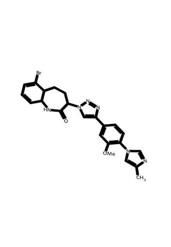 COc1cc(-c2cn(C3CCC4C(Br)=CC=CC4NC3=O)nn2)ccc1-n1cnc(C)c1